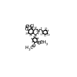 COc1ccc(C2CN(Cc3ccccc3)Cc3c2ccc(OC)c3Cl)cc1OC